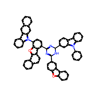 c1ccc(-n2c3ccccc3c3ccc(C4N=C(c5ccc(-n6c7ccccc7c7cc8ccccc8cc76)c6oc7c8ccccc8ccc7c56)N=C(c5ccc6oc7ccccc7c6c5)N4)cc32)cc1